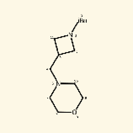 CCC(C)N1CC(CN2CCOCC2)C1